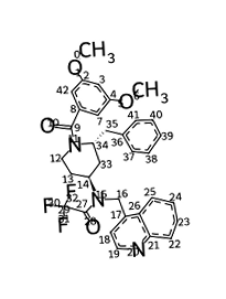 COc1cc(OC)cc(C(=O)N2CC[C@H](N(Cc3ccnc4ccccc34)C(=O)C(F)(F)F)C[C@H]2Cc2ccccc2)c1